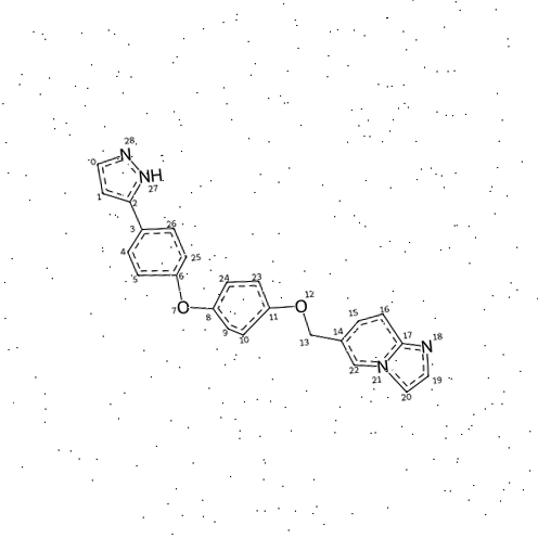 c1cc(-c2ccc(Oc3ccc(OCc4ccc5nccn5c4)cc3)cc2)[nH]n1